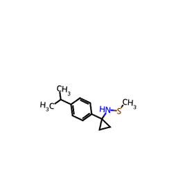 CSNC1(c2ccc(C(C)C)cc2)CC1